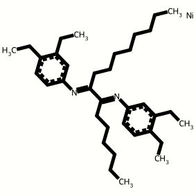 CCCCCCCCC(=Nc1ccc(CC)c(CC)c1)C(CCCCCC)=Nc1ccc(CC)c(CC)c1.[Ni]